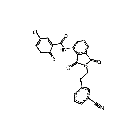 N#Cc1cccc(CCN2C(=O)c3cccc(NC(=O)C4=CC(Cl)=CCC4=S)c3C2=O)c1